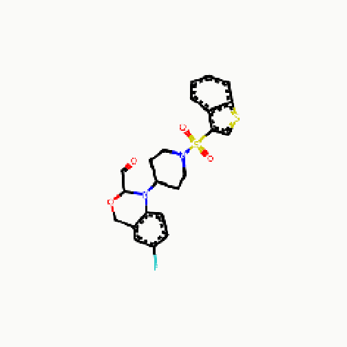 O=CC1OCc2cc(F)ccc2N1C1CCN(S(=O)(=O)c2csc3ccccc23)CC1